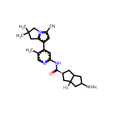 CC(=O)NC1CC2C[C@H](C(=O)Nc3cc(-c4cc(C#N)n5c4CC(C)(C)C5)c(C)cn3)CC2(S)C1